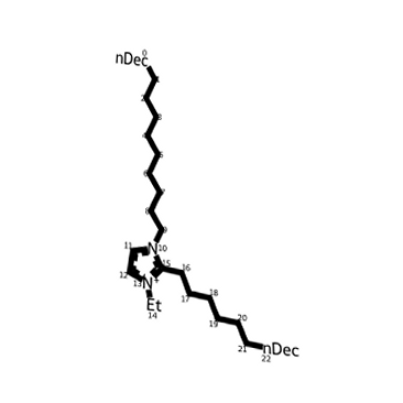 CCCCCCCCCCCCCCCCCCCn1cc[n+](CC)c1CCCCCCCCCCCCCCCC